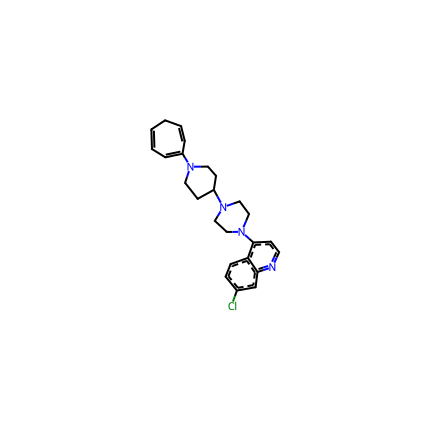 Clc1ccc2c(N3CCN(C4CCN(C5=CC=CCC=C5)CC4)CC3)ccnc2c1